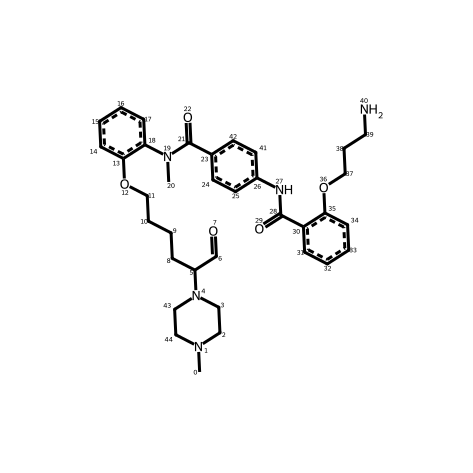 CN1CCN(C(C=O)CCCCOc2ccccc2N(C)C(=O)c2ccc(NC(=O)c3ccccc3OCCCN)cc2)CC1